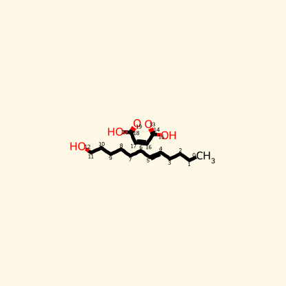 CCCCC=CCCCCCCO.O=C(O)/C=C\C(=O)O